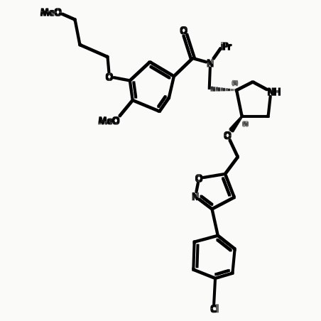 COCCCOc1cc(C(=O)N(C[C@@H]2CNC[C@H]2OCc2cc(-c3ccc(Cl)cc3)no2)C(C)C)ccc1OC